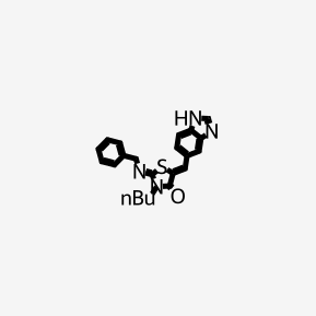 CCCCN1C(=O)C(=Cc2ccc3[nH]cnc3c2)SC1=NCc1ccccc1